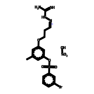 Cc1cc(OCC/C=N\NC(=N)N)cc(OS(=O)(=O)c2cccc(Br)c2)c1.O=[N+]([O-])O